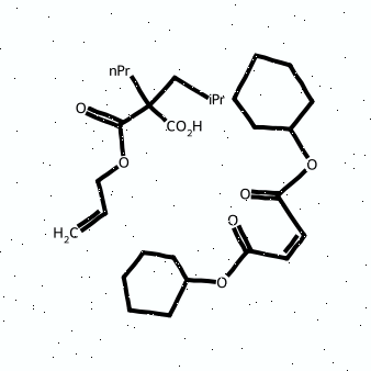 C=CCOC(=O)C(CCC)(CC(C)C)C(=O)O.O=C(/C=C\C(=O)OC1CCCCC1)OC1CCCCC1